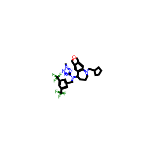 Cn1nnc(N(Cc2cc(C(F)(F)F)cc(C(F)(F)F)c2)C2CCCN(CC3CCCC3)c3cc4c(cc32)COC4)n1